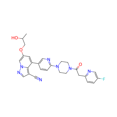 CC(O)COc1cc(-c2ccc(N3CCN(C(=O)Cc4ccc(F)cn4)CC3)nc2)c2c(C#N)cnn2c1